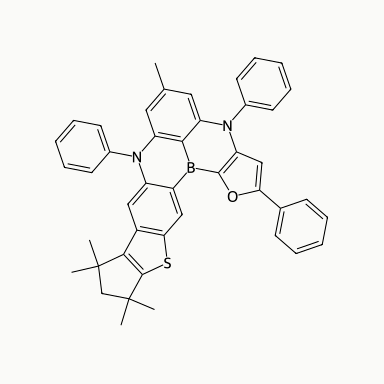 Cc1cc2c3c(c1)N(c1ccccc1)c1cc(-c4ccccc4)oc1B3c1cc3sc4c(c3cc1N2c1ccccc1)C(C)(C)CC4(C)C